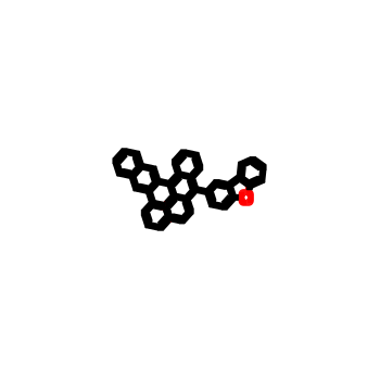 c1ccc(-c2cc3ccccc3cc2-c2c3ccccc3c(-c3ccc4oc5ccccc5c4c3)c3ccccc23)cc1